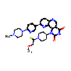 COCC(=S)N1CCC(n2c(=O)[nH]c(=O)c3cnc4ccc(-c5ccc(N6CCN(C)CC6)nc5)nc4c32)CC1